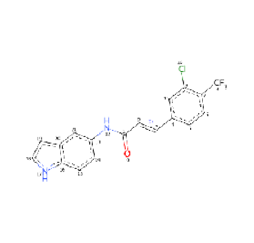 O=C(/C=C/c1ccc(C(F)(F)F)c(Cl)c1)Nc1ccc2[nH]ccc2c1